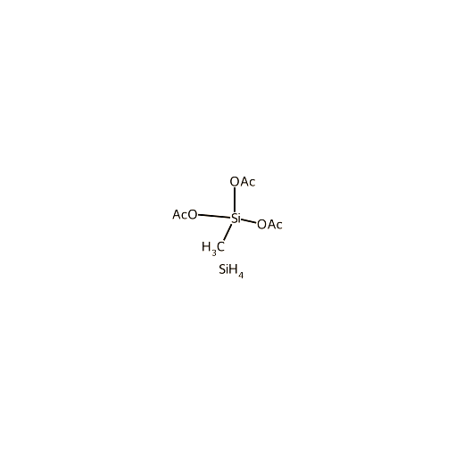 CC(=O)O[Si](C)(OC(C)=O)OC(C)=O.[SiH4]